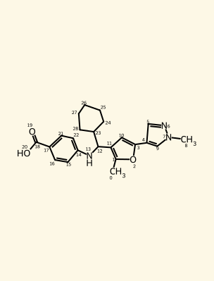 Cc1oc(-c2cnn(C)c2)cc1C(Nc1ccc(C(=O)O)cc1)C1CCCCC1